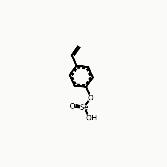 C=Cc1ccc(O[Se](=O)O)cc1